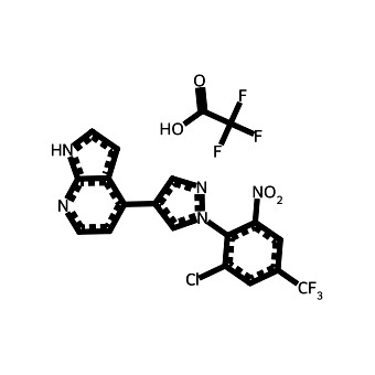 O=C(O)C(F)(F)F.O=[N+]([O-])c1cc(C(F)(F)F)cc(Cl)c1-n1cc(-c2ccnc3[nH]ccc23)cn1